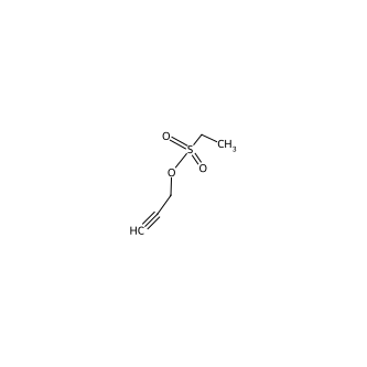 C#CCOS(=O)(=O)CC